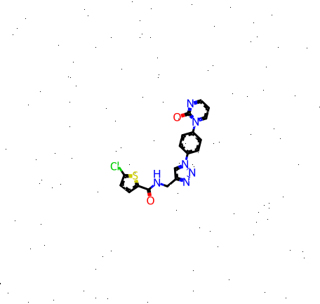 O=C(NCc1cn(-c2ccc(-n3cccnc3=O)cc2)nn1)c1ccc(Cl)s1